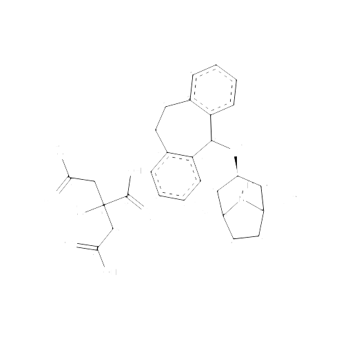 CN1[C@@H]2CC[C@H]1C[C@@H](OC1c3ccccc3CCc3ccccc31)C2.O=C(O)CC(O)(CC(=O)O)C(=O)O